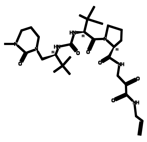 C=CCNC(=O)C(=O)CNC(=O)[C@@H]1CCCN1C(=O)[C@@H](NC(=O)N[C@H](CN1CCCN(C)C1=O)C(C)(C)C)C(C)(C)C